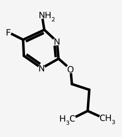 CC(C)CCOc1ncc(F)c(N)n1